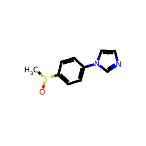 C[S+]([O-])c1ccc(-n2ccnc2)cc1